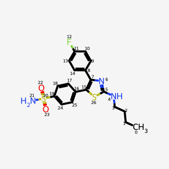 CCCCNc1nc(-c2ccc(F)cc2)c(-c2ccc(S(N)(=O)=O)cc2)s1